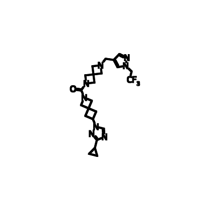 O=C(N1CC2(CC(n3cnc(C4CC4)n3)C2)C1)N1CC2(CN(Cc3cnn(CC(F)(F)F)c3)C2)C1